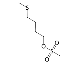 CSCCCCOS(C)(=O)=O